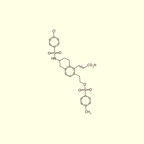 Cc1ccc(S(=O)(=O)OCCc2ccc3c(c2/C=C/C(=O)O)CCC(NS(=O)(=O)c2ccc(Cl)cc2)C3)cc1